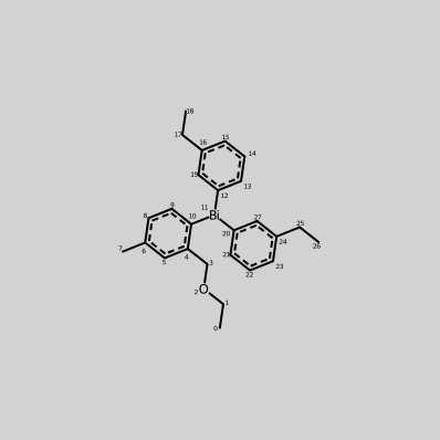 CCOCc1cc(C)cc[c]1[Bi]([c]1cccc(CC)c1)[c]1cccc(CC)c1